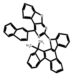 CC1(C)c2ccccc2-c2c1c1c(c3ccccc23)c2ccccc2n1-c1nc(-c2ccc3ccccc3c2)c2c(n1)oc1ccccc12